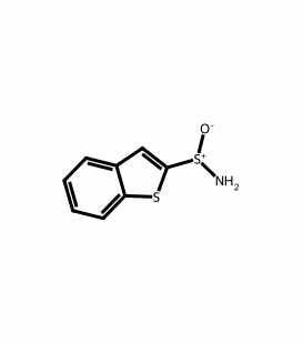 N[S+]([O-])c1cc2ccccc2s1